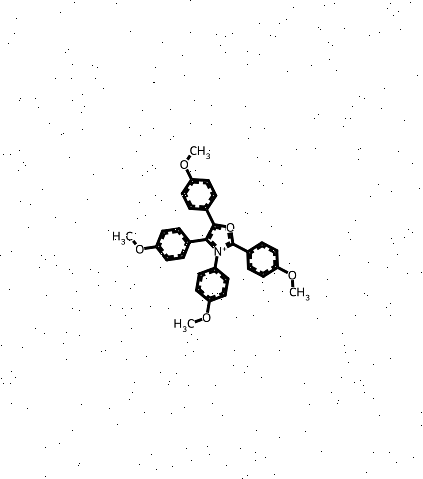 COc1ccc(-c2oc(-c3ccc(OC)cc3)[n+](-c3ccc(OC)cc3)c2-c2ccc(OC)cc2)cc1